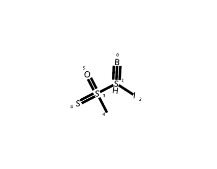 B#[SH](I)S(C)(=O)=S